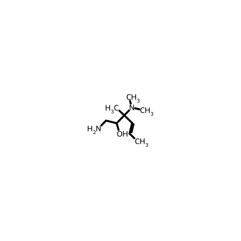 CC=CC(C)(C(O)CN)N(C)C